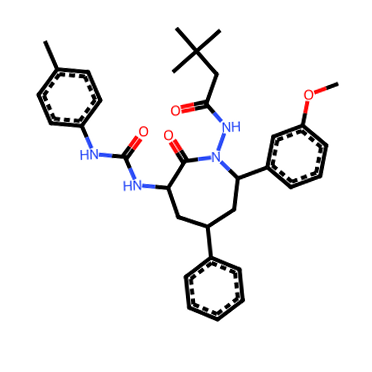 COc1cccc(C2CC(c3ccccc3)CC(NC(=O)Nc3ccc(C)cc3)C(=O)N2NC(=O)CC(C)(C)C)c1